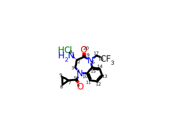 Cl.N[C@H]1CN(C(=O)C2CC2)c2ccccc2N(CC(F)(F)F)C1=O